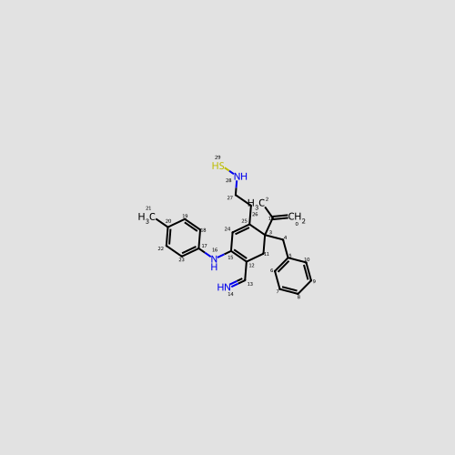 C=C(C)C1(Cc2ccccc2)CC(C=N)=C(Nc2ccc(C)cc2)C=C1CCNS